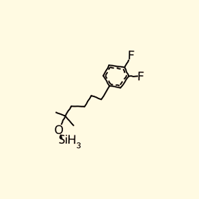 CC(C)(CCCCc1ccc(F)c(F)c1)O[SiH3]